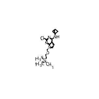 C[Si](C)(C)CCOCn1ccc2c(NC34CC(C3)C4)nc(Cl)nc21